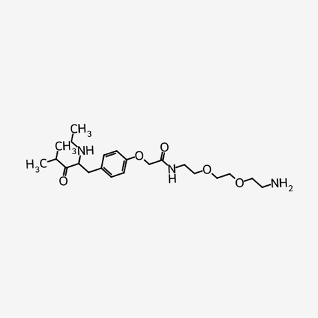 CCNC(Cc1ccc(OCC(=O)NCCOCCOCCN)cc1)C(=O)C(C)C